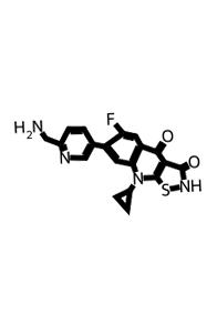 NCc1ccc(-c2cc3c(cc2F)c(=O)c2c(=O)[nH]sc2n3C2CC2)cn1